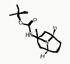 CCN1[C@@H]2CC[C@H]1CC(NC(=O)OC(C)(C)C)C2